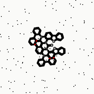 O=C1N2c3c(ccc4c3oc3ccccc34)B(c3ccccc3-c3ccccc3)c3ccc4ccc5c(c4c32)N1c1c(ccc2c1oc1ccccc12)B5c1ccccc1-c1ccccc1